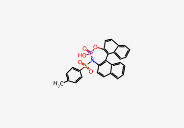 Cc1ccc(S(=O)(=O)N2c3ccc4ccccc4c3-c3c(ccc4ccccc34)OP2(=O)O)cc1